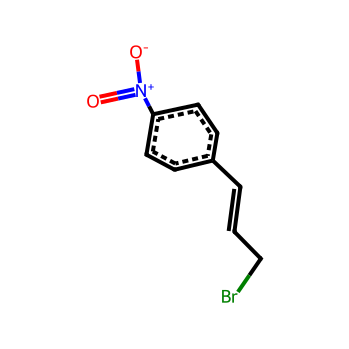 O=[N+]([O-])c1ccc(C=CCBr)cc1